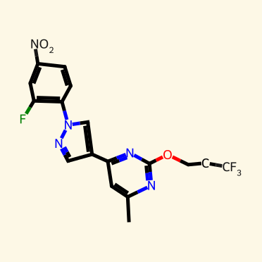 Cc1cc(-c2cnn(-c3ccc([N+](=O)[O-])cc3F)c2)nc(OCCC(F)(F)F)n1